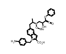 CC(Cc1ccc2c(c1)cc(C(=O)O)n2Cc1ccc(N)cc1)N(CC(O)C(=C=O)Oc1ccccc1)OC(C)(C)C